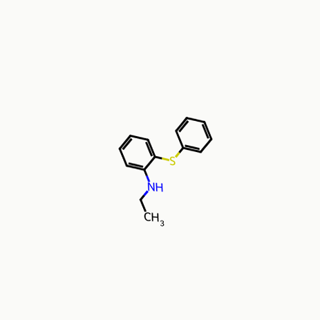 CCNc1ccccc1Sc1ccccc1